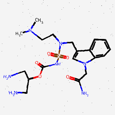 CN(C)CCN(Cc1cn(CC(N)=O)c2ccccc12)S(=O)(=O)NC(=O)OC(CN)CN